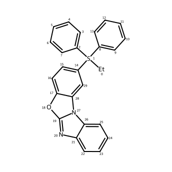 CCS(c1ccccc1)(c1ccccc1)c1ccc2oc3nc4ccccc4n3c2c1